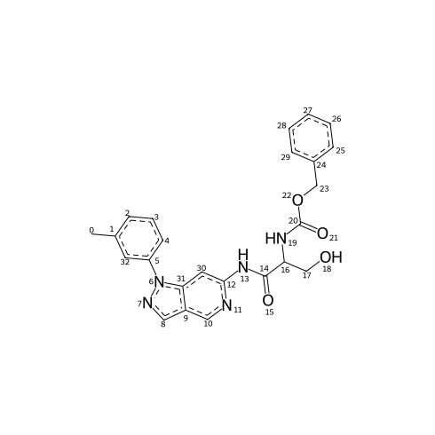 Cc1cccc(-n2ncc3cnc(NC(=O)C(CO)NC(=O)OCc4ccccc4)cc32)c1